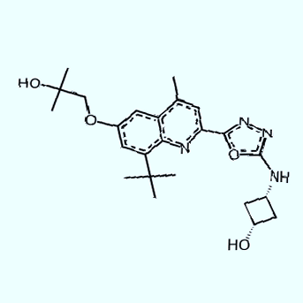 Cc1cc(-c2nnc(N[C@H]3C[C@@H](O)C3)o2)nc2c(C(C)(C)C)cc(OCC(C)(C)O)cc12